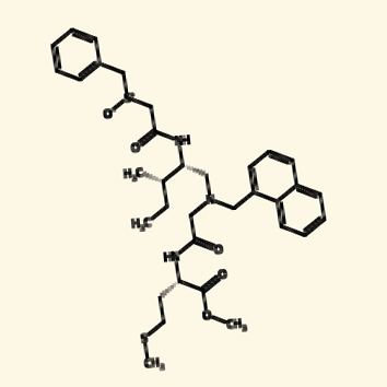 CC[C@H](C)[C@@H](CN(CC(=O)N[C@@H](CCSC)C(=O)OC)Cc1cccc2ccccc12)NC(=O)C[S+]([O-])Cc1ccccc1